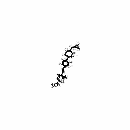 Fc1nc(N=C=S)cnc1C#Cc1ccc(C2CCC(CC3CC3)CC2)cc1